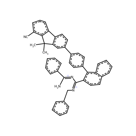 CC1(C)c2cc(-c3ccc(-c4c(C(/N=C(\N)c5ccccc5)=N/Cc5ccccc5)ccc5ccccc45)cc3)ccc2-c2cccc(C#N)c21